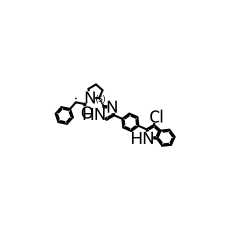 O=C([CH]c1ccccc1)N1CCC[C@H]1c1nc(-c2ccc(-c3[nH]c4ccccc4c3Cl)cc2)c[nH]1